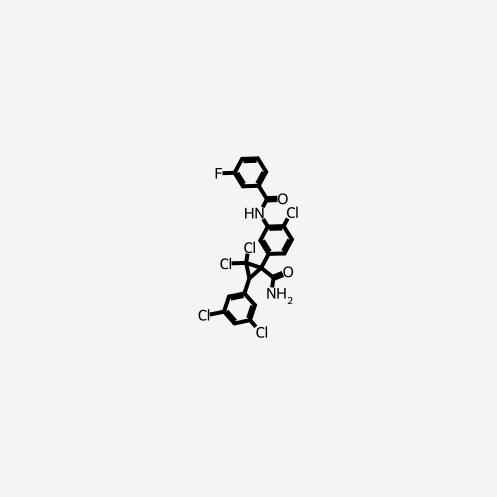 NC(=O)C1(c2ccc(Cl)c(NC(=O)c3cccc(F)c3)c2)C(c2cc(Cl)cc(Cl)c2)C1(Cl)Cl